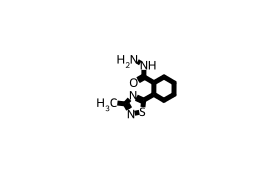 Cc1nsc(C2CCCCC2C(=O)NN)n1